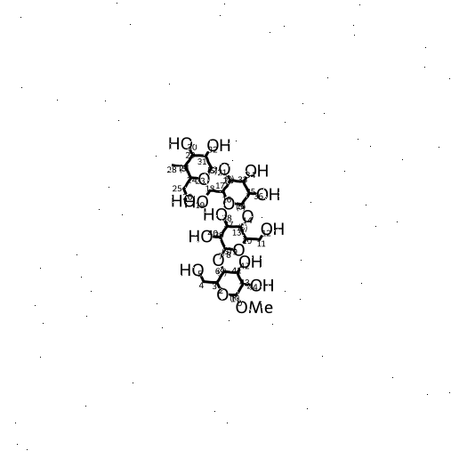 CO[C@@H]1OC(CO)[C@@H](O[C@@H]2OC(CO)[C@@H](O[C@@H]3OC(CO)[C@@H](O[C@@H]4OC(CO)[C@@H](C)C(O)C4O)C(O)C3O)C(O)C2O)C(O)C1O